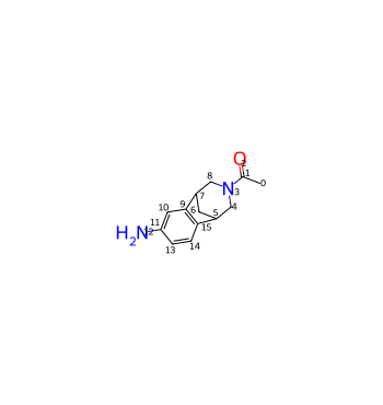 CC(=O)N1CC2CC(C1)c1cc(N)ccc12